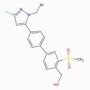 CC(C)Cn1nc(F)cc1-c1ccc(-c2ccc(CO)c(S(C)(=O)=O)c2)cc1